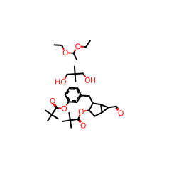 CC(C)(C)C(=O)Oc1cccc(CC2C(OC(=O)C(C)(C)C)CC3C(C=O)C23)c1.CC(C)(CO)CO.CCOC(C)OCC